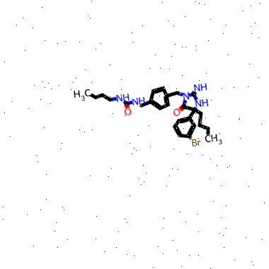 CCCCNC(=O)NCc1ccc(CN2C(=N)NC(CCCC)(c3cccc(Br)c3)C2=O)cc1